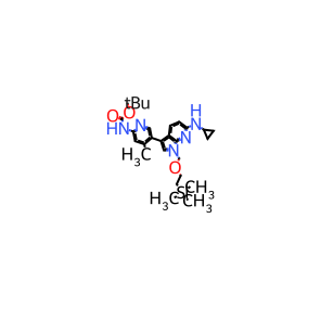 Cc1cc(NC(=O)OC(C)(C)C)ncc1-c1cn(COCC[Si](C)(C)C)c2nc(NC3CC3)ccc12